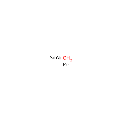 O.[Ni].[Pr].[Sm]